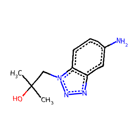 CC(C)(O)Cn1nnc2cc(N)ccc21